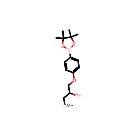 COCC(O)COc1ccc(B2OC(C)(C)C(C)(C)O2)cc1